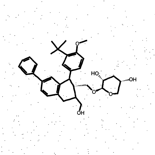 COc1ccc(C2c3cc(-c4ccccc4)ccc3CC(CO)[C@H]2CO[C@@H]2OC[C@@H](O)C[C@H]2O)cc1C(C)(C)C